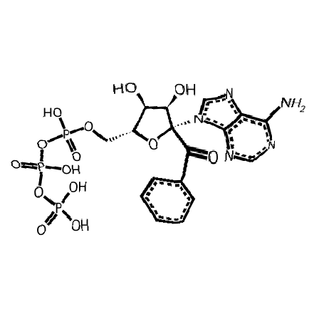 Nc1ncnc2c1ncn2[C@]1(C(=O)c2ccccc2)O[C@H](COP(=O)(O)OP(=O)(O)OP(=O)(O)O)[C@@H](O)[C@H]1O